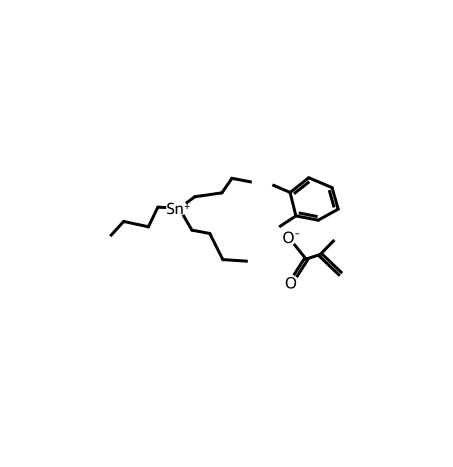 C=C(C)C(=O)[O-].CCC[CH2][Sn+]([CH2]CCC)[CH2]CCC.Cc1ccccc1C